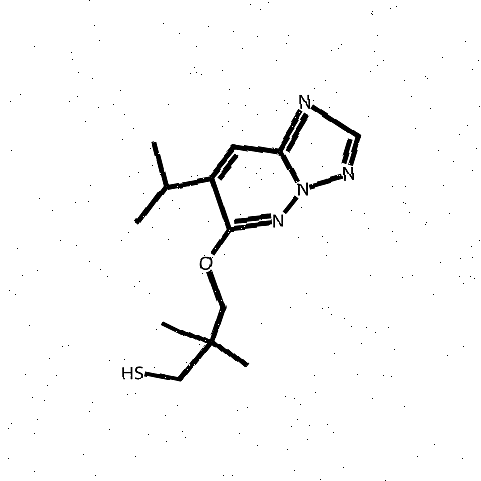 CC(C)c1cc2ncnn2nc1OCC(C)(C)CS